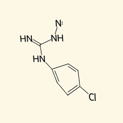 [N]NC(=N)Nc1ccc(Cl)cc1